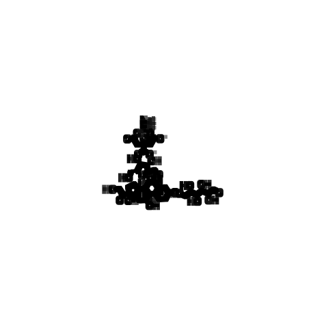 C[C@]12CCC(=O)C=C1CC[C@@H]1[C@@H]2[C@@H](O)C[C@@]2(C)[C@H]1CC[C@]2(O)C(=O)CO.O=C([O-])CC(O)(CC(=O)[O-])C(=O)[O-].O=C[C@@H](O)[C@@H](O)[C@H](O)[C@H](O)CO.OC[C@H]1O[C@](O)(CO)[C@@H](O)[C@@H]1O.[Na+].[Na+].[Na+]